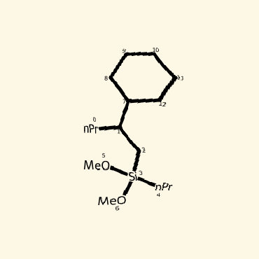 CCCC(C[Si](CCC)(OC)OC)C1CCCCC1